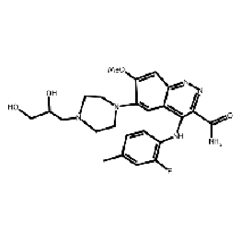 COc1cc2nnc(C(N)=O)c(Nc3ccc(C)cc3F)c2cc1N1CCN(CC(O)CO)CC1